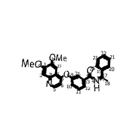 COc1cc2nccc(Oc3cccc(C(=O)N[C@H](C)c4ccccc4)c3)c2cc1OC